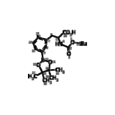 CC(C)(C)OC(=O)NC(Cc1cc(B2OC(C)(C)C(C)(C)O2)ccn1)C(=O)O